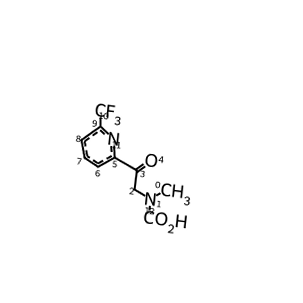 CN(CC(=O)c1cccc(C(F)(F)F)n1)C(=O)O